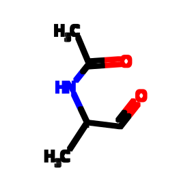 C[C](C=O)NC(C)=O